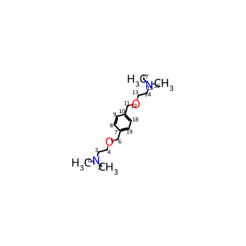 CN(C)CCOCc1ccc(COCCN(C)C)cc1